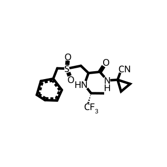 C[C@@H](NC(CS(=O)(=O)Cc1ccccc1)C(=O)NC1(C#N)CC1)C(F)(F)F